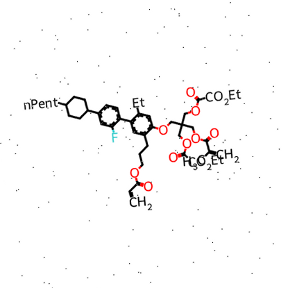 C=CC(=O)OCCCc1cc(-c2ccc(C3CCC(CCCCC)CC3)cc2F)c(CC)cc1OCC(COC(=O)C(=C)C)(COC(=O)C(=O)OCC)COC(=O)C(=O)OCC